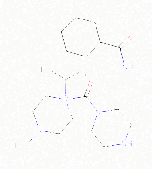 CC(C)[N+]1(C(=O)N2CCNCC2)CCN(C)CC1.NC(=O)C1CCCCC1